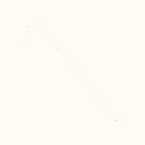 CCCCC/C=C\C/C=C\CCCCCCCC(=O)OCCCCCCCCCCCCCCCCCCCCCCCCCCC